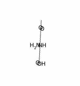 CCCCCCCCOC(=O)CCCCCCCCCCCCCCCCCNC(CCCCCCCCCCCCCCCCCC(=O)O)C(C)N